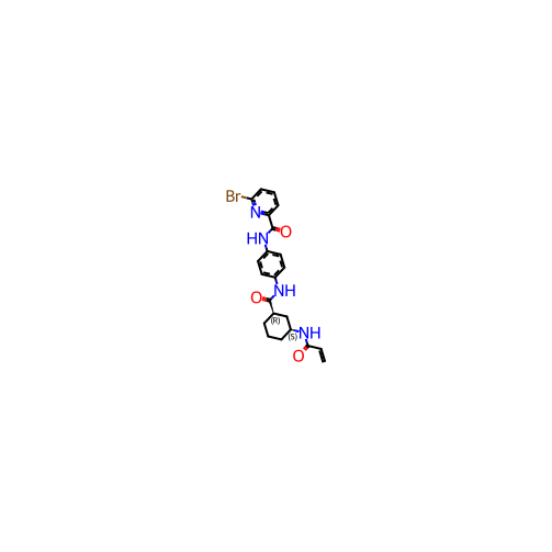 C=CC(=O)N[C@H]1CCC[C@@H](C(=O)Nc2ccc(NC(=O)c3cccc(Br)n3)cc2)C1